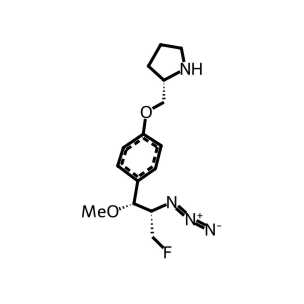 CO[C@H](c1ccc(OC[C@@H]2CCCN2)cc1)[C@@H](CF)N=[N+]=[N-]